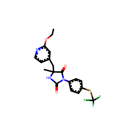 CCOc1cc(CC2(C)NC(=O)N(c3ccc(SC(F)(F)F)cc3)C2=O)ccn1